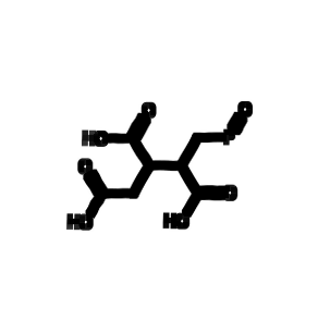 O=PCC(C(=O)O)C(CC(=O)O)C(=O)O